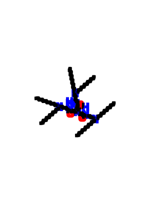 CCCCCCCCCCCCN(CCCCCCCCCCCC)CCCCNC(=O)CCN(CCC(=O)NCCCCN(CCCCCCCCCCCC)CCCCCCCCCCCC)CCC(=O)NCCCCN(CCCCCCCCCCCC)CCCCCCCCCCCC